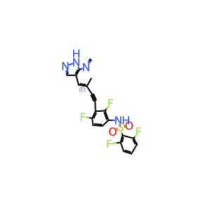 C=Nc1[nH]ncc1/C=C(\C)C#Cc1c(F)ccc(NS(=O)(=O)c2c(F)cccc2F)c1F